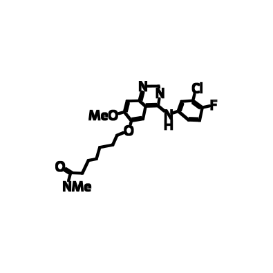 CNC(=O)CCCCCCOc1cc2c(Nc3ccc(F)c(Cl)c3)ncnc2cc1OC